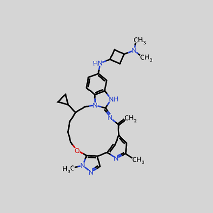 C=C1/N=C2\Nc3cc(NC4CC(N(C)C)C4)ccc3N2CC(C2CC2)CCCOc2c(cnn2C)-c2cc1cc(C)n2